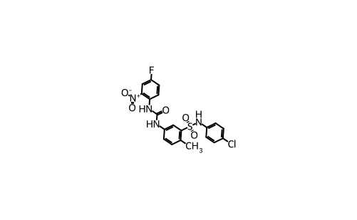 Cc1ccc(NC(=O)Nc2ccc(F)cc2[N+](=O)[O-])cc1S(=O)(=O)Nc1ccc(Cl)cc1